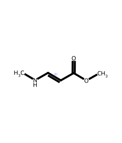 CN/C=C/C(=O)OC